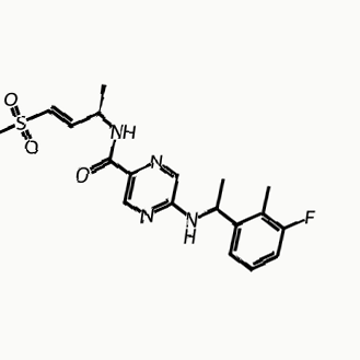 Cc1c(F)cccc1C(C)Nc1cnc(C(=O)N[C@H](C)/C=C/S(C)(=O)=O)cn1